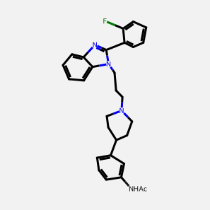 CC(=O)Nc1cccc(C2CCN(CCCn3c(-c4ccccc4F)nc4ccccc43)CC2)c1